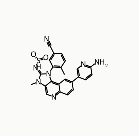 Cc1ccc(C#N)cc1-n1/c(=N\[SH](=O)=O)n(C)c2cnc3ccc(-c4ccc(N)nc4)cc3c21